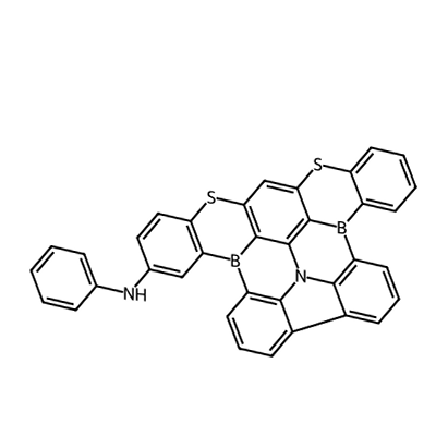 c1ccc(Nc2ccc3c(c2)B2c4c(cc5c6c4-n4c7c(cccc7c7cccc2c74)B6c2ccccc2S5)S3)cc1